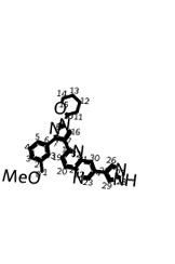 COCc1cccc(-c2nn(C3CCCCO3)cc2-c2ccc3ncc(-c4cn[nH]c4)cc3n2)c1